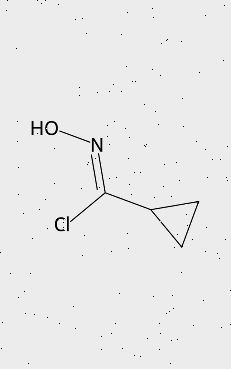 ON=C(Cl)C1CC1